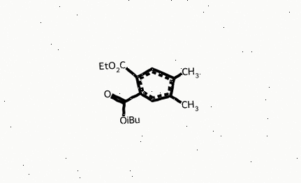 CCOC(=O)c1cc(C)c(C)cc1C(=O)OCC(C)C